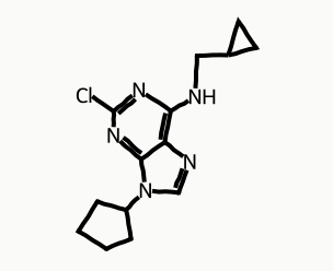 Clc1nc(NCC2CC2)c2ncn(C3CCCC3)c2n1